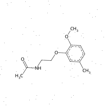 COc1ccc(C)cc1OCCNC(C)=O